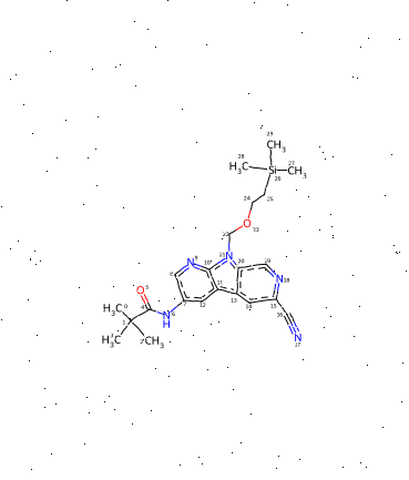 CC(C)(C)C(=O)Nc1cnc2c(c1)c1cc(C#N)ncc1n2COCC[Si](C)(C)C